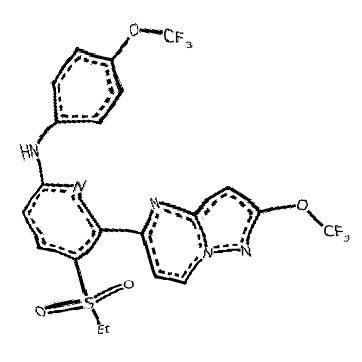 CCS(=O)(=O)c1ccc(Nc2ccc(OC(F)(F)F)cc2)nc1-c1ccn2nc(OC(F)(F)F)cc2n1